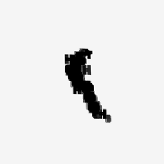 Cc1ccc(-c2ccc(C3NC(c4ccc(CN(CC(=O)O)C(=O)c5ccc(NC(=O)CC(C)C)cc5)cc4)=NO3)cc2)cc1